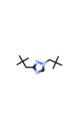 CC(C)(C)Cc1ncn(CC(C)(C)C)n1